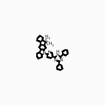 CC1(C)c2ccccc2-c2cc3c4ccccc4n(-c4ccc(C5N=C(c6ccccc6)N=C(c6ccccc6)N5)cn4)c3cc21